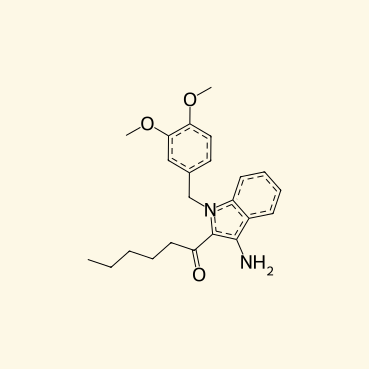 CCCCCC(=O)c1c(N)c2ccccc2n1Cc1ccc(OC)c(OC)c1